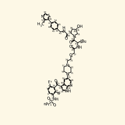 CCCS(=O)(=O)Nc1ccc(F)c(C(=O)c2c[nH]c3ncc(N4CCN(CCOCC(=O)NC(C(=O)N5C[C@H](O)C[C@H]5C(=O)NCc5ccc(-c6scnc6C)cc5)C(C)(C)C)CC4)cc23)c1F